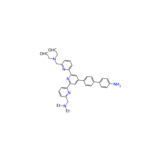 CCN(CC)Cc1cccc(-c2cc(-c3ccc(-c4ccc(N)cc4)cc3)cc(-c3cccc(CN(CC=O)CC=O)n3)n2)n1